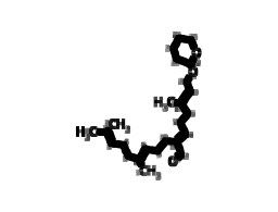 CC(C)=CCC/C(C)=C/CC/C(C=O)=C\CC/C(C)=C/COC1CCCCO1